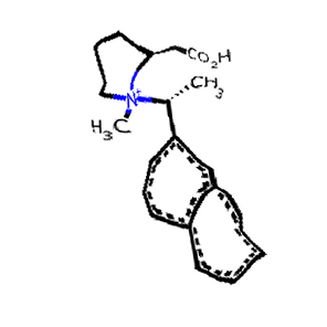 C[C@H](c1ccc2ccccc2c1)[N+]1(C)CCC[C@H]1C(=O)O